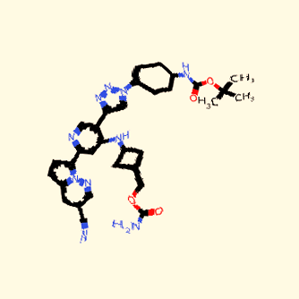 CC(C)(C)OC(=O)NC1CCC(n2cc(-c3cnc(-c4ccc5cc(C#N)cnn45)cc3NC3CC(COC(N)=O)C3)nn2)CC1